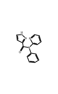 O=C(c1cc[nH]n1)N(c1ccccc1)c1ccccn1